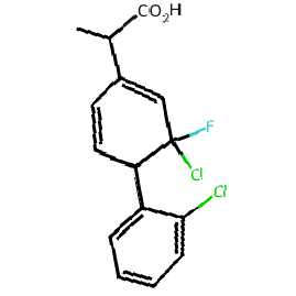 CC(C(=O)O)C1=CC(F)(Cl)C(c2ccccc2Cl)C=C1